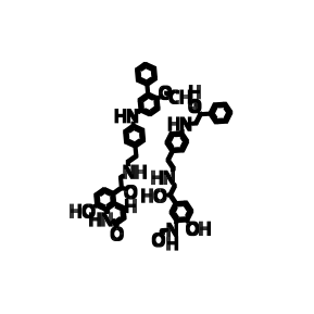 COc1ccc(Nc2ccc(CCNCC(O)c3ccc(O)c4[nH]c(=O)ccc34)cc2)cc1-c1ccccc1.O=CNc1cc(C(O)CNCCc2ccc(NCC(O)c3ccccc3)cc2)ccc1O